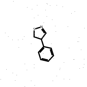 C1=NSCC1c1ccccc1